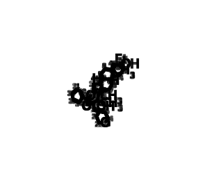 CC[C@]1(O)CC[C@@]2(C)C(=CC[C@H]3[C@@H]4CC[C@H]([C@H](C)C(CC5(O)CCOCC5)S(=O)(=O)c5ccccc5)[C@@]4(C)CC[C@@H]32)C1